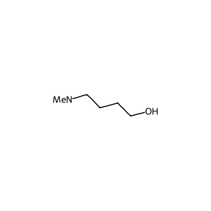 [CH2]NCCCCO